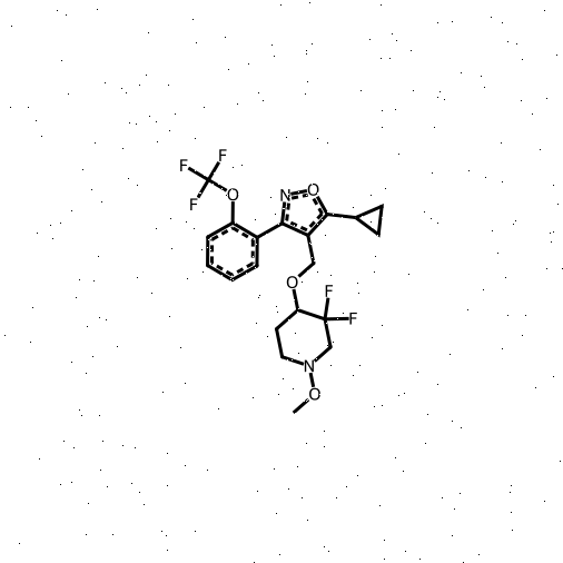 CON1CCC(OCc2c(-c3ccccc3OC(F)(F)F)noc2C2CC2)C(F)(F)C1